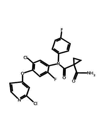 NC(=O)C1(C(=O)N(c2ccc(F)cc2)c2cc(Cl)c(Oc3ccnc(Cl)c3)cc2F)CC1